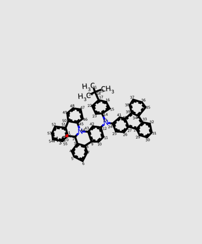 CCC1c2ccccc2-c2ccc(N(c3ccc(C(C)(C)C)cc3)c3ccc4c5ccccc5c5ccccc5c4c3)cc2N1c1ccccc1-c1ccccc1